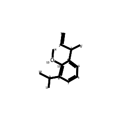 [CH2]C(C=C)c1cccc(C(C)C)c1OC